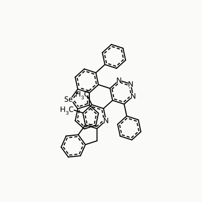 Cc1c(-c2c(-c3ccccc3)nnnc2-c2c(-c3ccccc3)ccc3[se]c4ccccc4c23)nc2c(c1C)-c1ccccc1C2